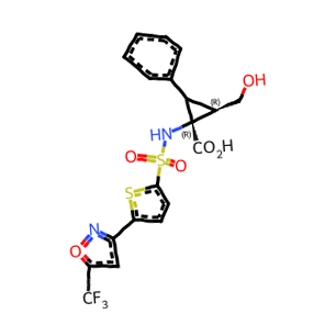 O=C(O)[C@@]1(NS(=O)(=O)c2ccc(-c3cc(C(F)(F)F)on3)s2)C(c2ccccc2)[C@H]1CO